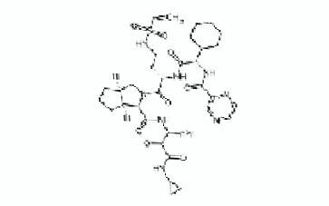 C=CS(=O)(=O)NCC[C@H](NC(=O)[C@@H](NC(=O)c1cnccn1)C1CCCCC1)C(=O)N1C[C@@H]2CCC[C@@H]2C1C(=O)N[C@@H](CCC)C(=O)C(=O)NC1CC1